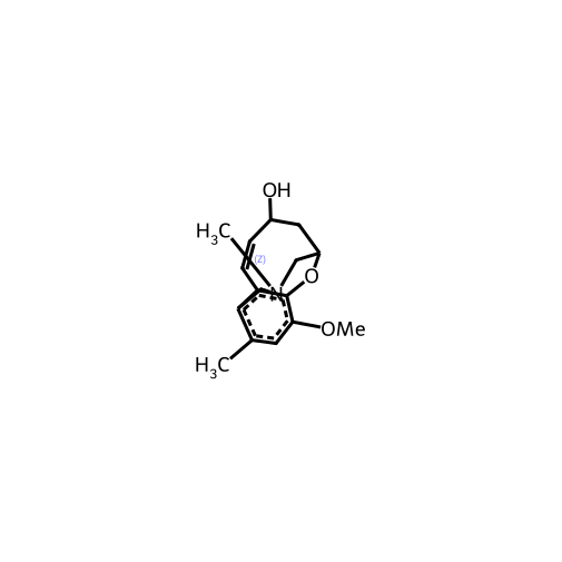 COc1cc(C)c2c3c1OC(CC(O)/C=C\3)CN(C)C2